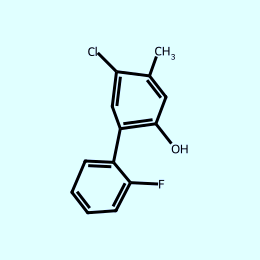 Cc1cc(O)c(-c2ccccc2F)cc1Cl